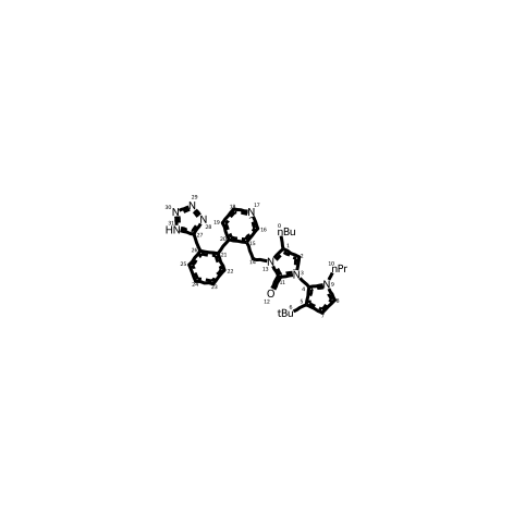 CCCCc1cn(-c2c(C(C)(C)C)ccn2CCC)c(=O)n1Cc1cnccc1-c1ccccc1-c1nnn[nH]1